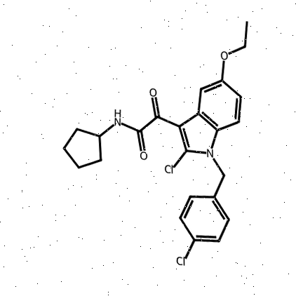 CCOc1ccc2c(c1)c(C(=O)C(=O)NC1CCCC1)c(Cl)n2Cc1ccc(Cl)cc1